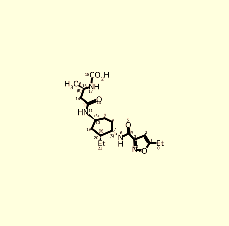 CCc1cc(C(=O)N[C@H]2CC[C@H](NC(=O)C[C@@H](C)NC(=O)O)C[C@H]2CC)no1